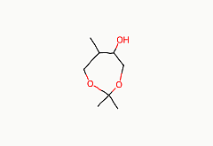 CC1COC(C)(C)OCC1O